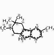 Cc1cnc2[nH]c3c(c2n1)CC(C)(C)N(C)C3